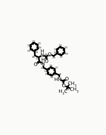 CC(C)(C)OC(=O)NCc1ccc(CNC(=O)C(Cc2ccccc2)NC(=O)OCc2ccccc2)cc1